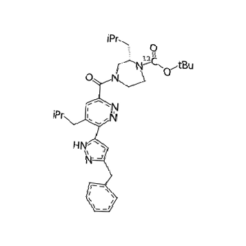 CC(C)Cc1cc(C(=O)N2CCN([12C](=O)OC(C)(C)C)[C@@H](CC(C)C)C2)nnc1-c1cc(Cc2ccccc2)n[nH]1